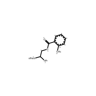 CCCCCC(CCC)COC(=O)c1ccccc1OC(C)=O